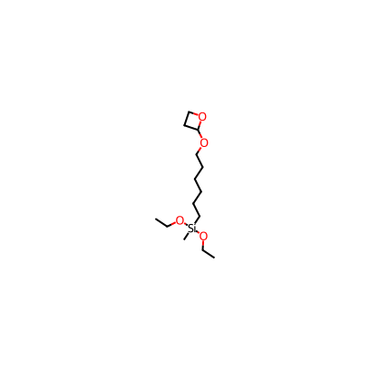 CCO[Si](C)(CCCCCCOC1CCO1)OCC